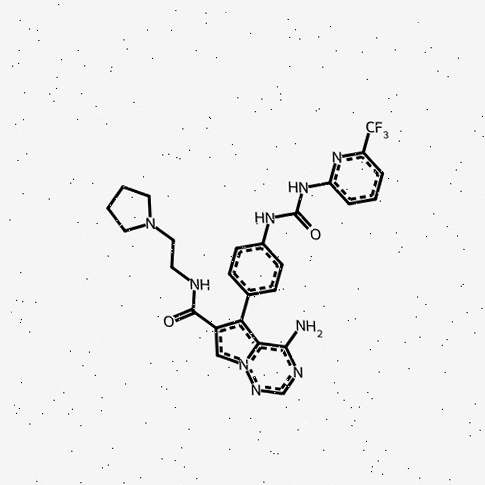 Nc1ncnn2cc(C(=O)NCCN3CCCC3)c(-c3ccc(NC(=O)Nc4cccc(C(F)(F)F)n4)cc3)c12